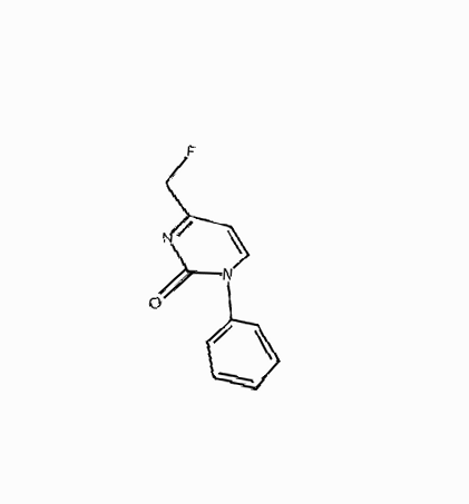 O=c1nc(CF)ccn1-c1ccccc1